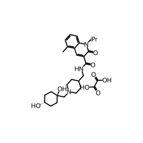 Cc1cccc2c1cc(C(=O)NCC1CCN(C[C@]3(O)CC[C@H](O)CC3)CC1)c(=O)n2C(C)C.O=C(O)C(=O)O